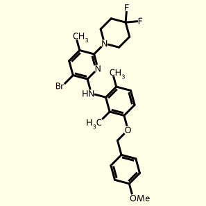 COc1ccc(COc2ccc(C)c(Nc3nc(N4CCC(F)(F)CC4)c(C)cc3Br)c2C)cc1